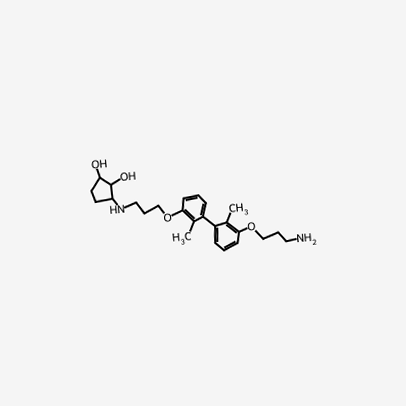 Cc1c(OCCCN)cccc1-c1cccc(OCCCNC2CCC(O)C2O)c1C